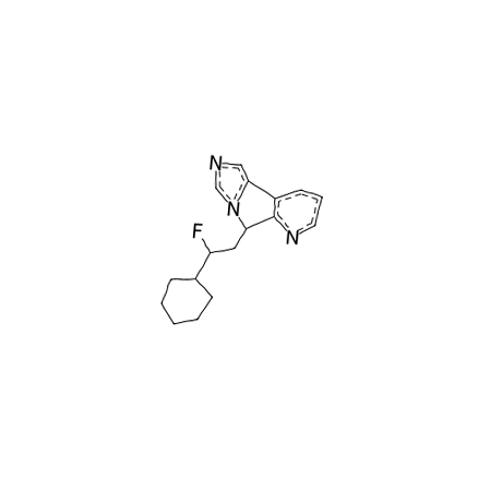 FC(CC1c2ncccc2-c2cncn21)C1CCCCC1